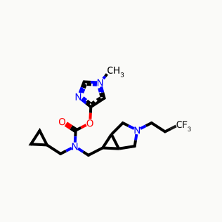 Cn1cnc(OC(=O)N(CC2CC2)CC2C3CN(CCC(F)(F)F)CC32)c1